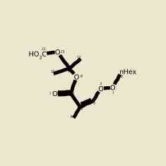 CCCCCCOOC=C(C)C(=O)OC(C)(C)OC(=O)O